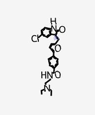 CCN(CC)CCNC(=O)c1ccc(-c2ccc(/C=C3/C(=O)Nc4ccc(Cl)cc43)o2)cc1